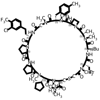 CC[C@H](C)[C@@H]1NC(=O)[C@H](CC(C)C)N(C)C(=O)CSC[C@@H](C(=O)N(C)C)N(C)C(=O)[C@H](C2CCCC2)N(C)C(=O)C2(CCCC2)NC(=O)[C@@H]2CCCN2C(=O)[C@H](CCc2ccc(C(F)(F)F)c(Cl)c2)NC(=O)CN(C)C(=O)[C@H](Cc2ccc(C)cc2)N(C)C(=O)[C@@H]2CCN2C(=O)[C@H](C)N(C)C1=O